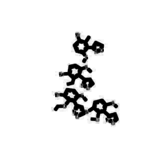 CCOc1c(Br)ccc(SC)c1-c1ccon1.CCc1c(Br)ccc(SC)c1-c1ccon1.COc1c(Br)ccc(SC)c1-c1ccon1.CSc1ccc(Br)c(C)c1-c1ccon1